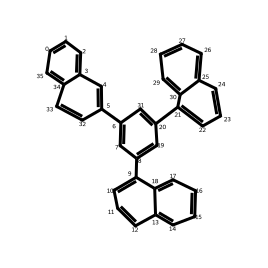 c1ccc2cc(-c3cc(-c4cccc5ccccc45)cc(-c4cccc5ccccc45)c3)ccc2c1